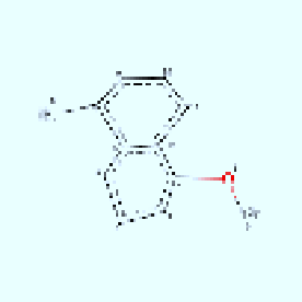 CCCOc1cccc2c(C(C)CC)cccc12